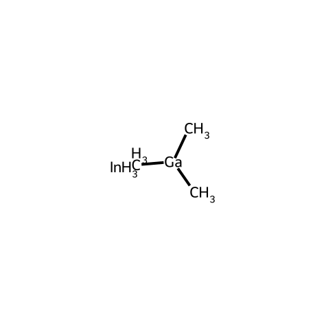 [CH3][Ga]([CH3])[CH3].[InH3]